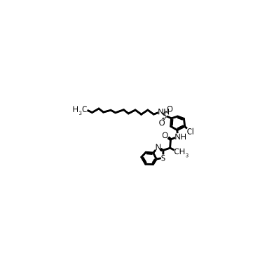 CCCCCCCCCCCCNS(=O)(=O)c1ccc(Cl)c(NC(=O)C(C)c2nc3ccccc3s2)c1